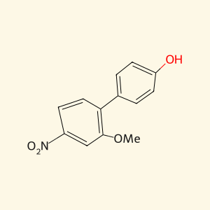 COc1cc([N+](=O)[O-])ccc1-c1ccc(O)cc1